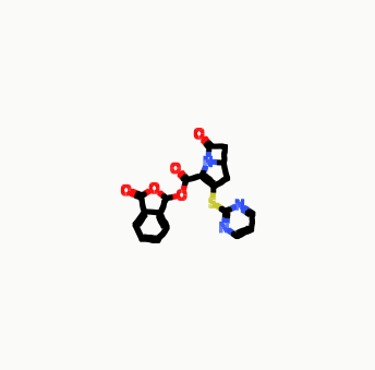 O=C(OC1OC(=O)c2ccccc21)C1=C(Sc2ncccn2)CC2CC(=O)N12